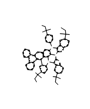 CCC(C)(C)c1ccc(N2c3cccc4c3B(c3sc5ccc(C(C)(C)CC)cc5c32)c2sc3ccc(C(C)(C)CC)cc3c2N4c2ccc(C(C)(C)CC)cc2-c2cccc3c4ccccc4c4ccccc4c23)cc1